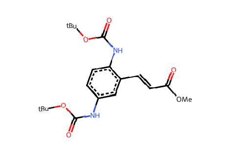 COC(=O)C=Cc1cc(NC(=O)OC(C)(C)C)ccc1NC(=O)OC(C)(C)C